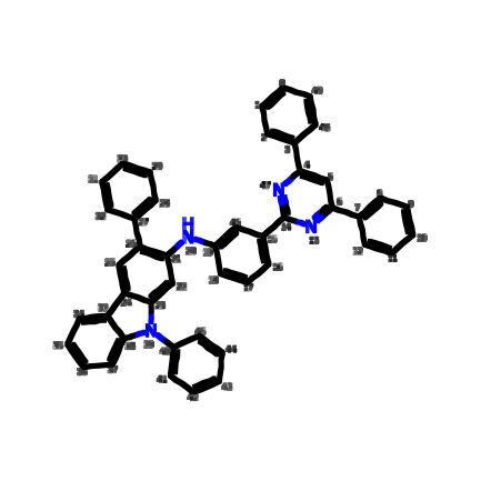 c1ccc(-c2cc(-c3ccccc3)nc(-c3cccc(Nc4cc5c(cc4-c4ccccc4)c4ccccc4n5-c4ccccc4)c3)n2)cc1